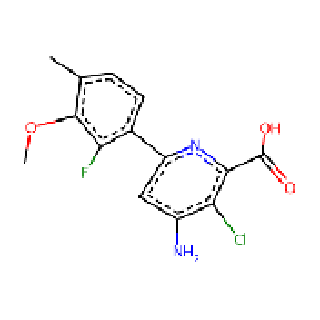 COc1c(C)ccc(-c2cc(N)c(Cl)c(C(=O)O)n2)c1F